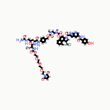 Cc1cccc2c(OC(=O)N(C)CCN(C)C(=O)OCc3ccc(NC(=O)[C@H](CCCNC(N)=O)NC(=O)[C@@H](NC(=O)OCCOCCOCCOCCN4C(=O)C=CC4=O)C(C)C)cc3)cc3c(c12)[C@H](CCl)CN3C(=O)c1cc2cc(NC(=O)c3ccc(O)cc3)cnc2[nH]1